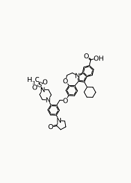 CS(=O)(=O)N1CCN(c2ccc(N3CCCC3=O)cc2COc2ccc3c(c2)OCCn2c-3c(C3CCCCC3)c3ccc(C(=O)O)cc32)CC1